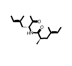 C/C=C(\C)C[C@@H](C)C(=O)N[C@H](C/C(C)=C/C)C(C)=O